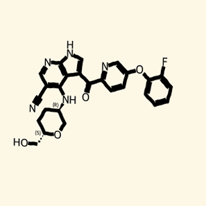 N#Cc1cnc2[nH]cc(C(=O)c3ccc(Oc4ccccc4F)cn3)c2c1N[C@@H]1CC[C@@H](CO)OC1